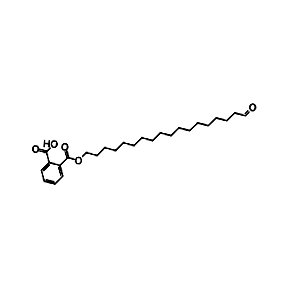 O=CCCCCCCCCCCCCCCCCCOC(=O)c1ccccc1C(=O)O